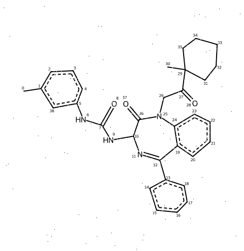 Cc1cccc(NC(=O)NC2N=C(c3ccccc3)c3ccccc3N(CC(=O)C3(C)CCCCC3)C2=O)c1